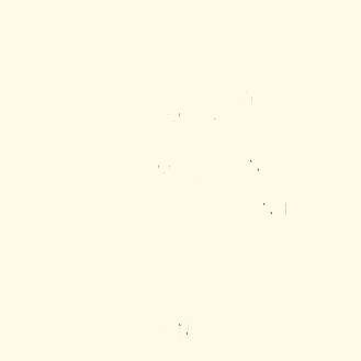 N#Cc1cc(F)cc(-c2c[nH]nc(C(=O)OCc3ccccc3)c2=O)c1